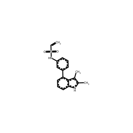 C=CS(=O)(=O)Nc1cccc(-c2cccc3[nH]c(C)c(C)c23)c1